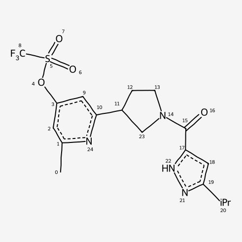 Cc1cc(OS(=O)(=O)C(F)(F)F)cc(C2CCN(C(=O)c3cc(C(C)C)n[nH]3)C2)n1